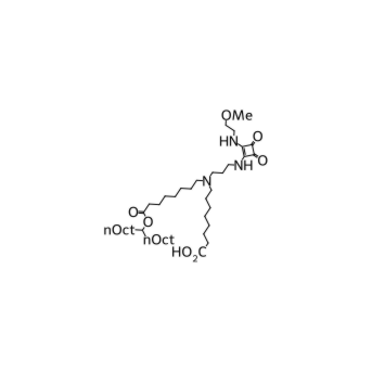 CCCCCCCCC(CCCCCCCC)OC(=O)CCCCCCCN(CCCCCCCC(=O)O)CCCNc1c(NCCOC)c(=O)c1=O